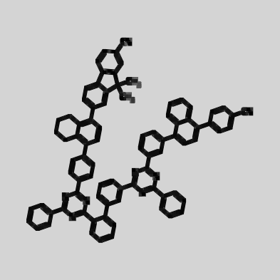 CC1(C)c2cc(C#N)ccc2-c2ccc(-c3ccc(-c4ccc(-c5nc(-c6ccccc6)nc(-c6ccccc6-c6cccc(-c7nc(-c8ccccc8)nc(-c8cccc(-c9ccc(-c%10ccc(C#N)cc%10)c%10ccccc9%10)c8)n7)c6)n5)cc4)c4c3CCCC4)cc21